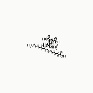 CCCCCCCCCCCCCCCCCC(=O)O.CCCN.CNC.N[C@@H](CCC(=O)O)C(=O)O